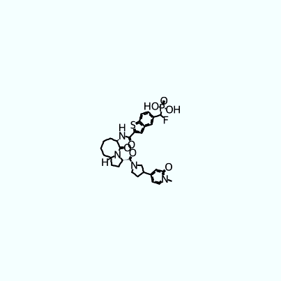 Cn1ccc(C2CCN(C(=O)[C@@H]3CC[C@@H]4CCCC[C@H](NC(=O)c5cc6cc(C(F)P(=O)(O)O)ccc6s5)C(=O)N43)C2)cc1=O